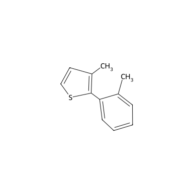 Cc1ccccc1-c1sccc1C